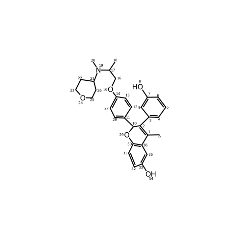 CC1=C(c2cccc(O)c2)C(c2ccc(OCC(C)N(C)C3CCOCC3)cc2)Oc2ccc(O)cc21